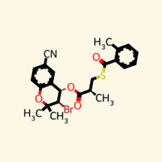 Cc1ccccc1C(=O)SC[C@@H](C)C(=O)O[C@H]1c2cc(C#N)ccc2OC(C)(C)[C@@H]1Br